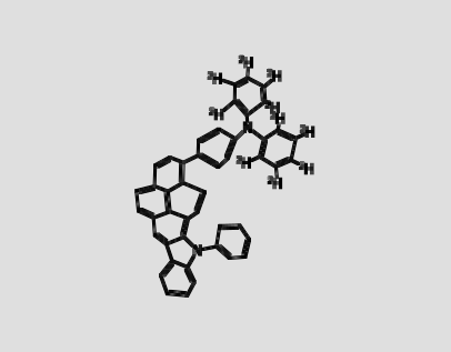 [2H]c1c([2H])c([2H])c(N(c2ccc(-c3ccc4ccc5cc6c7ccccc7n(-c7ccccc7)c6c6ccc3c4c56)cc2)c2c([2H])c([2H])c([2H])c([2H])c2[2H])c([2H])c1[2H]